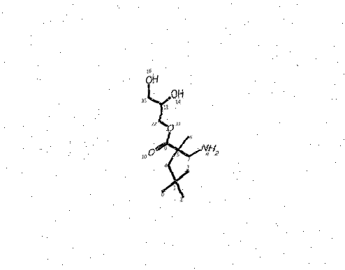 CC(C)(C)CC(C)(CN)C(=O)OCC(O)CO